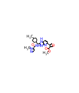 COC(=O)c1cocc1-c1ccc2[nH]c(C(NC(=O)c3ccnn3C)C3CCC(C)CC3)nc2n1